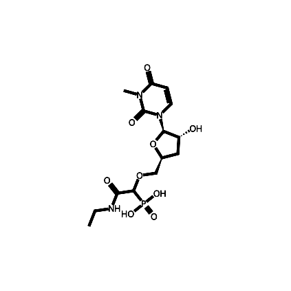 CCNC(=O)C(OC[C@@H]1C[C@@H](O)[C@H](n2ccc(=O)n(C)c2=O)O1)P(=O)(O)O